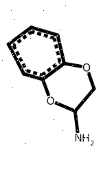 NC1COc2ccccc2O1